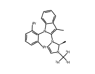 [2H]C([2H])([2H])N1C=CN(c2c(C)c3ccccc3n2-c2c(C(C)C)cccc2C(C)C)[C@H]1C